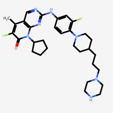 Cc1c(F)c(=O)n(C2CCCC2)c2nc(Nc3ccc(N4CCC(CCCN5CCNCC5)CC4)c(F)c3)ncc12